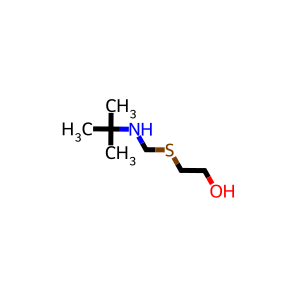 CC(C)(C)NCSCCO